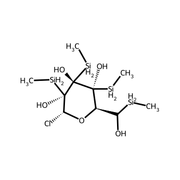 C[SiH2]C(O)[C@H]1O[C@H](Cl)[C@@](O)([SiH2]C)[C@](O)([SiH2]C)[C@@]1(O)[SiH2]C